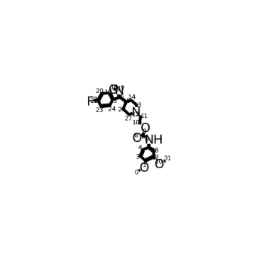 COc1ccc(NC(=O)OCCN2CCC(c3noc4cc(F)ccc34)CC2)cc1OC